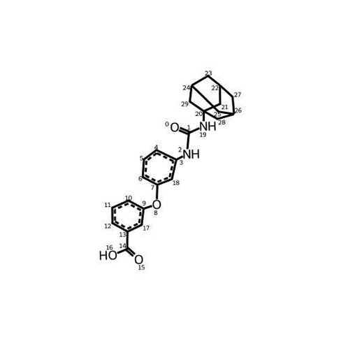 O=C(Nc1cccc(Oc2cccc(C(=O)O)c2)c1)NC12CC3CC(CC(C3)C1)C2